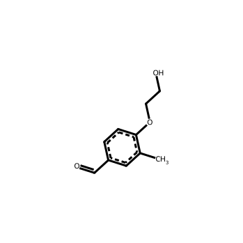 Cc1cc(C=O)ccc1OCCO